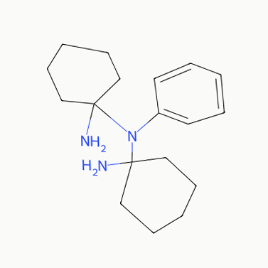 NC1(N(c2ccccc2)C2(N)CCCCC2)CCCCC1